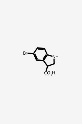 O=C(O)C1CNc2ccc(Br)cc21